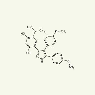 COc1ccc(-c2[nH]nc(-c3cc(C(C)C)c(O)cc3O)c2-c2ccc(OC)cc2)cc1